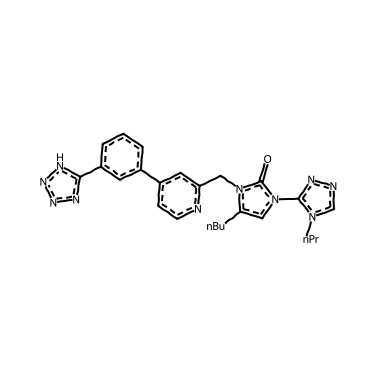 CCCCc1cn(-c2nncn2CCC)c(=O)n1Cc1cc(-c2cccc(-c3nnn[nH]3)c2)ccn1